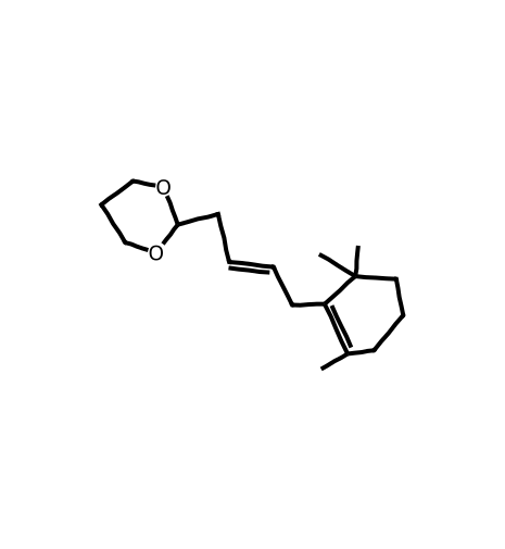 CC1=C(CC=CCC2OCCCO2)C(C)(C)CCC1